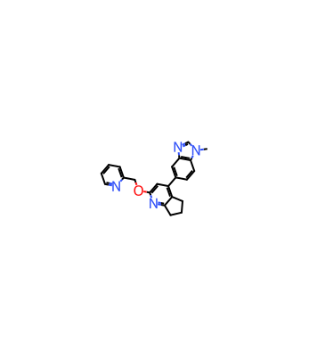 Cn1cnc2cc(-c3cc(OCc4ccccn4)nc4c3CCC4)ccc21